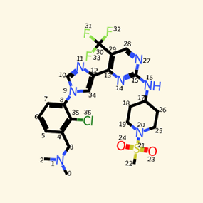 CN(C)Cc1cccc(-n2cnc(-c3nc(NC4CCN(S(C)(=O)=O)CC4)ncc3C(F)(F)F)c2)c1Cl